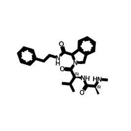 CN[C@@H](C)C(=O)N[C@H](C(=O)N1Cc2ccccc2C1C(=O)NCCc1ccccc1)C(C)C